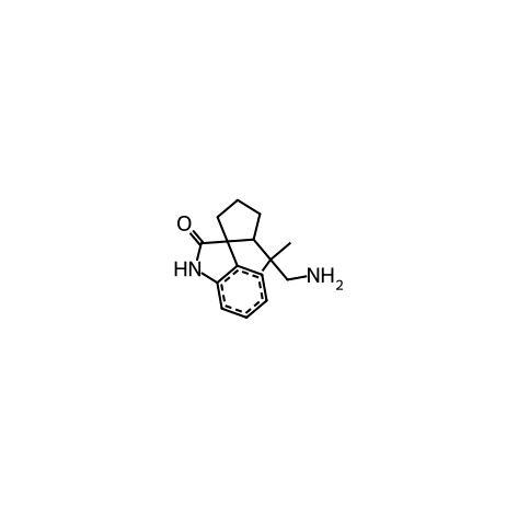 CC(C)(CN)C1CCCC12C(=O)Nc1ccccc12